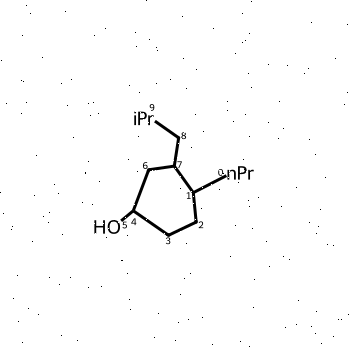 CCCC1CCC(O)CC1CC(C)C